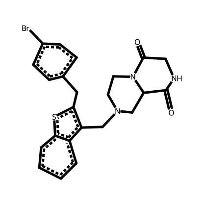 O=C1NCC(=O)N2CCN(Cc3c(Cc4ccc(Br)cc4)sc4ccccc34)CC12